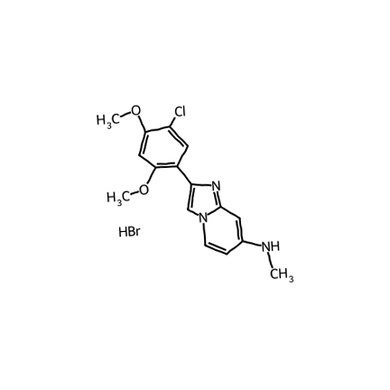 Br.CNc1ccn2cc(-c3cc(Cl)c(OC)cc3OC)nc2c1